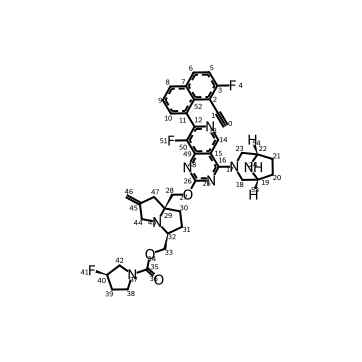 C#Cc1c(F)ccc2cccc(-c3ncc4c(N5C[C@H]6CC[C@@H](C5)N6)nc(OC[C@@]56CC[C@@H](COC(=O)N7CC[C@@H](F)C7)N5CC(=C)C6)nc4c3F)c12